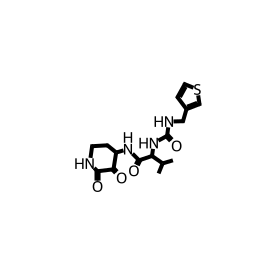 CC(C)C(NC(=O)NCc1ccsc1)C(=O)NC1CCNC(=O)C1=O